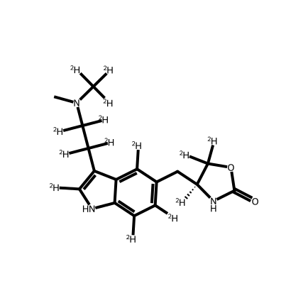 [2H]c1[nH]c2c([2H])c([2H])c(C[C@]3([2H])NC(=O)OC3([2H])[2H])c([2H])c2c1C([2H])([2H])C([2H])([2H])N(C)C([2H])([2H])[2H]